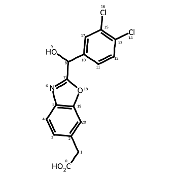 O=C(O)Cc1ccc2nc(C(O)c3ccc(Cl)c(Cl)c3)oc2c1